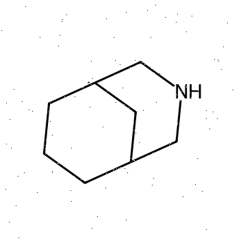 C1C[C]2CNCC(C1)C2